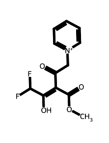 COC(=O)/C(C(=O)C[n+]1ccccc1)=C(\O)C(F)F